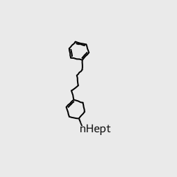 CCCCCCCC1CC=C(CCCCc2ccccc2)CC1